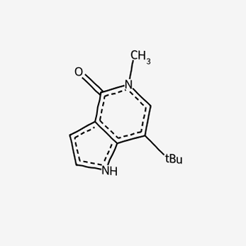 Cn1cc(C(C)(C)C)c2[nH]ccc2c1=O